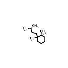 C[C@H]1CCCCC1(C)CCN(C)C